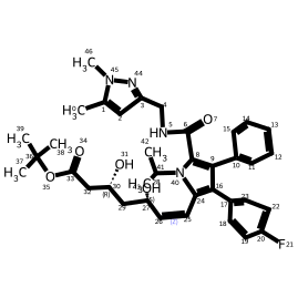 Cc1cc(CNC(=O)c2c(-c3ccccc3)c(-c3ccc(F)cc3)c(/C=C\[C@@H](O)C[C@@H](O)CC(=O)OC(C)(C)C)n2C(C)C)nn1C